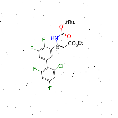 CCOC(=O)C[C@H](NC(=O)OC(C)(C)C)c1cc(-c2c(F)cc(F)cc2Cl)cc(F)c1F